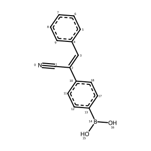 N#CC(=Cc1ccccc1)c1ccc(B(O)O)cc1